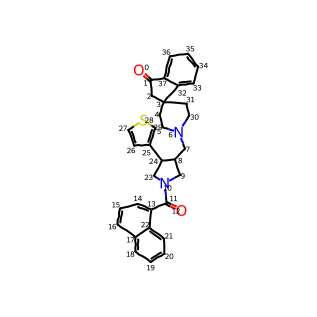 O=C1CC2(CCN(CC3CN(C(=O)c4cccc5ccccc45)CC3c3ccsc3)CC2)c2ccccc21